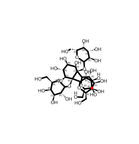 OC[C@H]1OC(O[C@]2(C3O[C@H](CO)[C@H](O)[C@H](O)[C@H]3O)[C@@H](O)[C@H](O)[C@@H](O)[C@H](O)[C@@]2(OC2O[C@H](CO)[C@H](O)[C@H](O)[C@H]2O)C2O[C@H](CO)[C@H](O)[C@H](O)[C@H]2O)[C@H](O)[C@@H](O)[C@H]1O